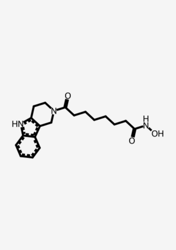 O=C(CCCCCCC(=O)N1CCc2[nH]c3ccccc3c2C1)NO